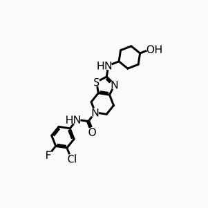 O=C(Nc1ccc(F)c(Cl)c1)N1CCc2nc(NC3CCC(O)CC3)sc2C1